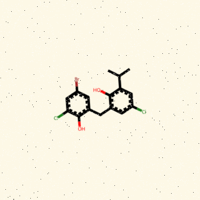 CC(C)c1cc(Cl)cc(Cc2cc(Br)cc(Cl)c2O)c1O